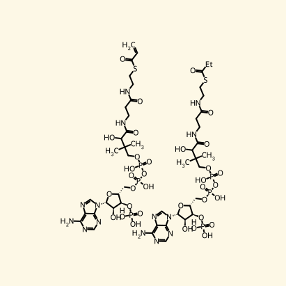 C=CC(=O)SCCNC(=O)CCNC(=O)C(O)C(C)(C)COP(=O)(O)OP(=O)(O)OC[C@H]1O[C@@H](n2cnc3c(N)ncnc32)[C@H](O)[C@@H]1OP(=O)(O)O.CCC(=O)SCCNC(=O)CCNC(=O)C(O)C(C)(C)COP(=O)(O)OP(=O)(O)OC[C@H]1O[C@@H](n2cnc3c(N)ncnc32)[C@H](O)[C@@H]1OP(=O)(O)O